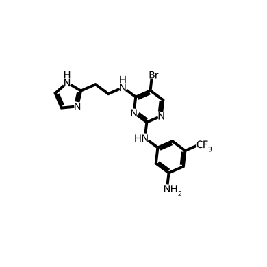 Nc1cc(Nc2ncc(Br)c(NCCc3ncc[nH]3)n2)cc(C(F)(F)F)c1